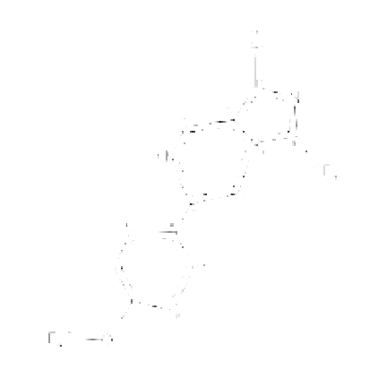 FC(F)(F)Oc1ccc(-c2cn3c(C(F)(F)F)nc(Br)c3cn2)cc1